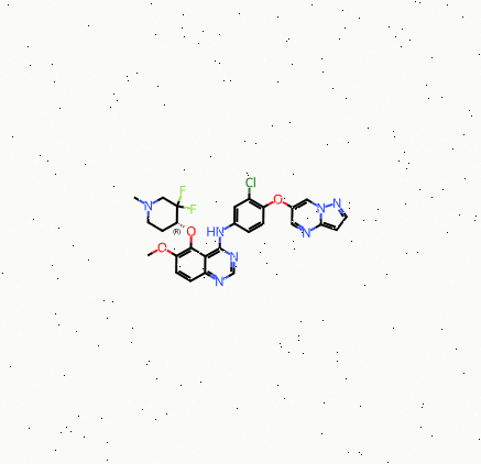 COc1ccc2ncnc(Nc3ccc(Oc4cnc5ccnn5c4)c(Cl)c3)c2c1O[C@@H]1CCN(C)CC1(F)F